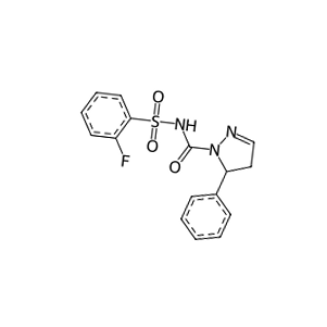 O=C(NS(=O)(=O)c1ccccc1F)N1N=CCC1c1ccccc1